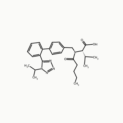 CCCCC(=O)N(Cc1ccc(-c2ccccc2-c2nnnn2C(C)C)cc1)[C@H](C(=O)O)C(C)C